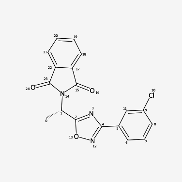 C[C@@H](c1nc(-c2cccc(Cl)c2)no1)N1C(=O)c2ccccc2C1=O